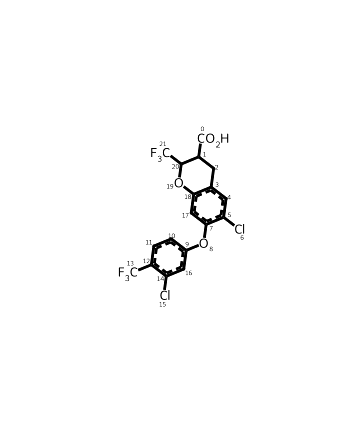 O=C(O)C1Cc2cc(Cl)c(Oc3ccc(C(F)(F)F)c(Cl)c3)cc2OC1C(F)(F)F